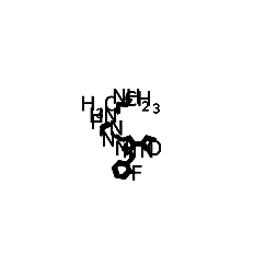 CCC(C)(N)CNc1nc(-c2cc(-c3ccon3)n(Cc3ccccc3F)n2)ncc1F